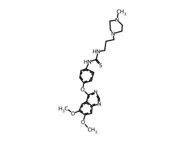 COc1cc2ncnc(Oc3ccc(NC(=S)NCCCN4CCN(C)CC4)cc3)c2cc1OC